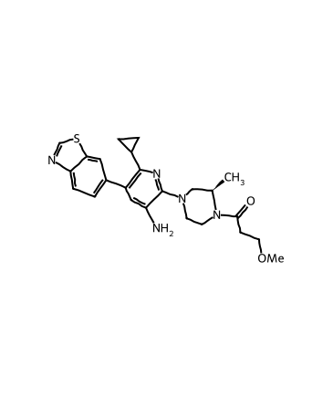 COCCC(=O)N1CCN(c2nc(C3CC3)c(-c3ccc4ncsc4c3)cc2N)C[C@H]1C